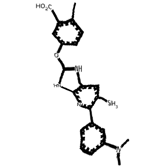 Cc1ccc(OC2Nc3cc([SiH3])c(-c4cccc(N(C)C)c4)nc3N2)cc1C(=O)O